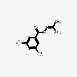 CC(C)=NNC(=O)c1cc(C)cc(C)c1